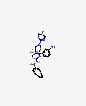 Nc1cccc(C23CN(c4ncc(F)cn4)C[C@H]2CSC(NC(=O)c2ccccc2)=N3)c1